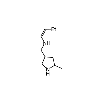 CC/C=C\NCC1CNC(C)C1